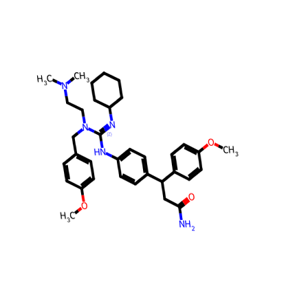 COc1ccc(CN(CCN(C)C)/C(=N\C2CCCCC2)Nc2ccc(C(CC(N)=O)c3ccc(OC)cc3)cc2)cc1